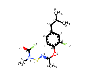 CC(=NSN(C)C(=O)F)Oc1ccc(CC(C)C)cc1F